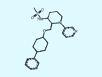 CS(=O)(=O)NC1CCCN(c2cccnc2)C1COC1CCC(c2ccccc2)CC1